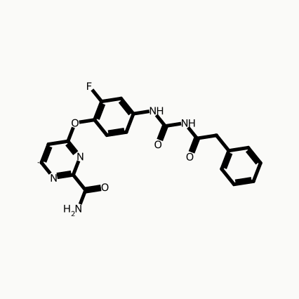 NC(=O)c1n[c]cc(Oc2ccc(NC(=O)NC(=O)Cc3ccccc3)cc2F)n1